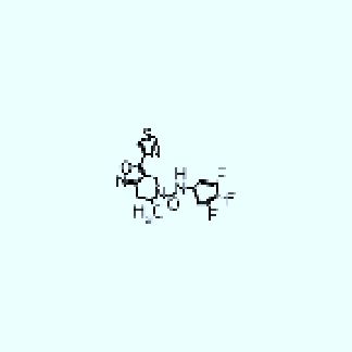 CC1Cc2noc(-c3cscn3)c2CN1C(=O)Nc1cc(F)c(F)c(F)c1